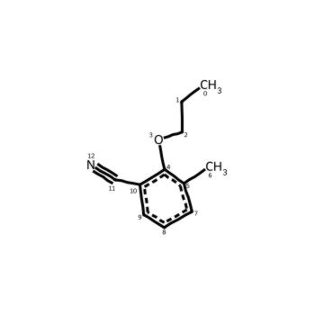 CCCOc1c(C)cccc1C#N